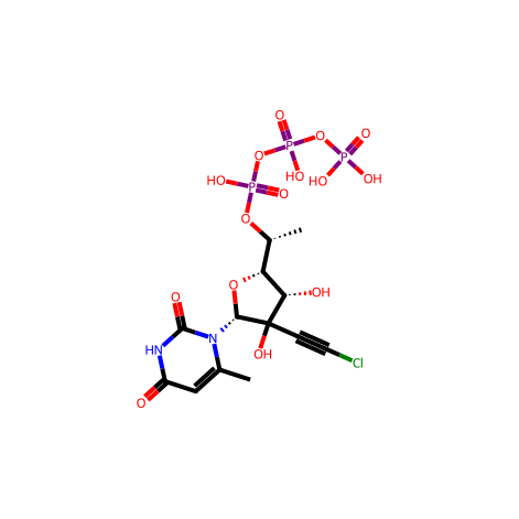 Cc1cc(=O)[nH]c(=O)n1[C@@H]1O[C@H]([C@@H](C)OP(=O)(O)OP(=O)(O)OP(=O)(O)O)[C@H](O)C1(O)C#CCl